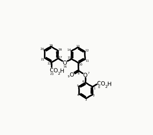 O=C(O)c1ccccc1OC(=O)c1ccccc1Oc1ccccc1C(=O)O